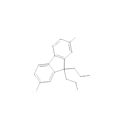 CC(C)CCC1(CCC(C)C)c2cc(Cl)ccc2-c2ccc(Cl)cc21